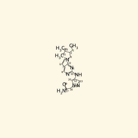 CCC(Cn1ccc2cnc(Nc3cnn(CC(N)=O)c3)nc21)C(C)C